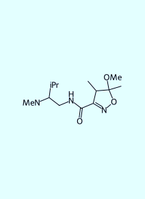 CNC(CNC(=O)C1=NOC(C)(OC)C1C)C(C)C